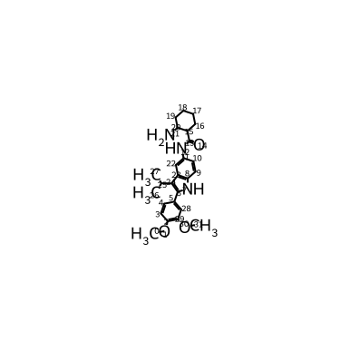 COc1ccc(-c2[nH]c3ccc(NC(=O)C4CCCCC4N)cc3c2C(C)C)cc1OC